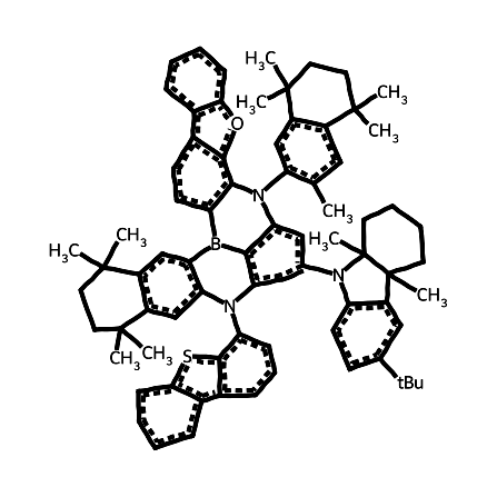 Cc1cc2c(cc1N1c3cc(N4c5ccc(C(C)(C)C)cc5C5(C)CCCCC45C)cc4c3B(c3cc5c(cc3N4c3cccc4c3sc3ccccc34)C(C)(C)CCC5(C)C)c3ccc4c(oc5ccccc54)c31)C(C)(C)CCC2(C)C